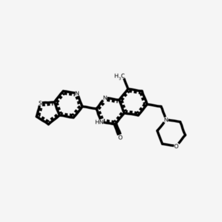 Cc1cc(CN2CCOCC2)cc2c(=O)[nH]c(-c3cc4ccsc4cn3)nc12